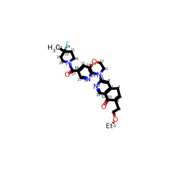 CCOCCC1=CCc2cc(N3CCOc4cc(C(=O)N5CCC(C)(F)CC5)cnc43)ncc2C1=O